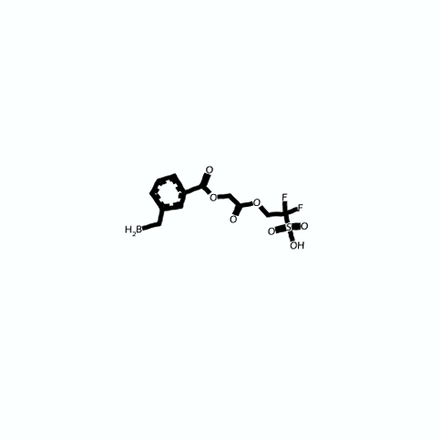 BCc1cccc(C(=O)OCC(=O)OCC(F)(F)S(=O)(=O)O)c1